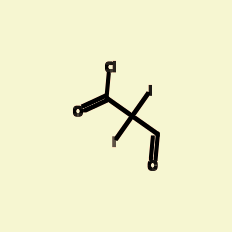 O=CC(I)(I)C(=O)Cl